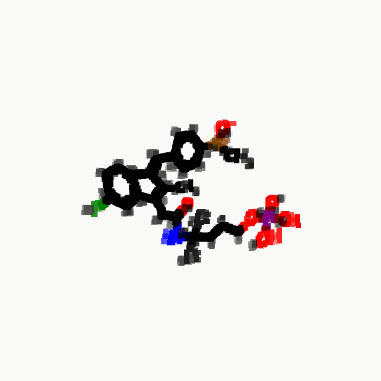 CCC(CC)(CCCOP(=O)(O)O)NC(=O)CC1=C(C)C(=Cc2ccc([S+](C)[O-])cc2)c2ccc(F)cc21